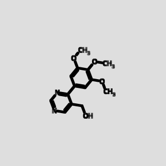 COc1cc(-c2ncncc2CO)cc(OC)c1OC